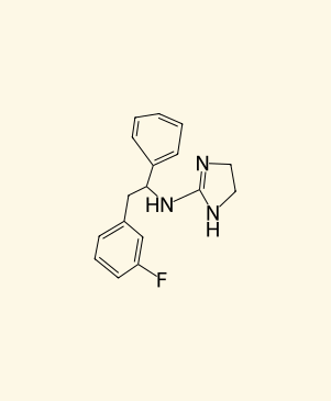 Fc1cccc(CC(NC2=NCCN2)c2ccccc2)c1